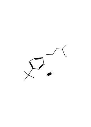 C#N.CC(C)CCSc1ccc(C(C)(C)C)cc1